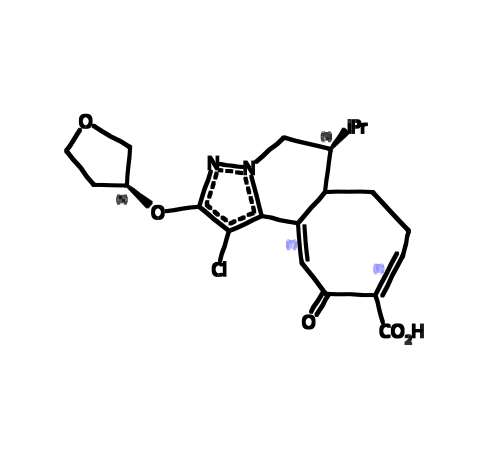 CC(C)[C@@H]1Cn2nc(O[C@H]3CCOC3)c(Cl)c2/C2=C/C(=O)/C(C(=O)O)=C\CCC21